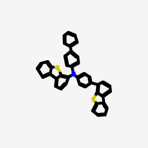 c1ccc(-c2ccc(N(c3ccc(-c4cccc5c4sc4ccccc45)cc3)c3cccc4c3sc3ccccc34)cc2)cc1